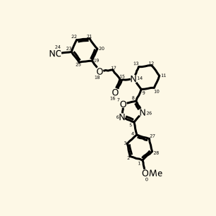 COc1ccc(-c2noc(C3CCCCN3C(=O)COc3cccc(C#N)c3)n2)cc1